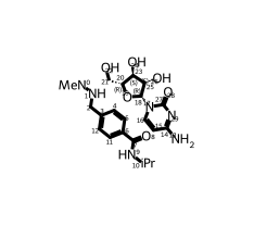 CNNCc1ccc(C(=O)NC(C)C)cc1.Nc1ccn([C@@H]2O[C@H](CO)[C@@H](O)[C@@H]2O)c(=O)n1